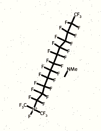 CNC.FC(F)(F)C(F)(F)C(F)(F)C(F)(F)C(F)(F)C(F)(F)C(F)(F)C(F)(F)C(F)(F)C(F)(F)C(F)(F)C(F)(F)[N+](F)(C(F)(F)F)C(F)(F)F